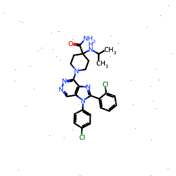 CC(C)NC1(C(N)=O)CCN(c2nncc3c2nc(-c2ccccc2Cl)n3-c2ccc(Cl)cc2)CC1